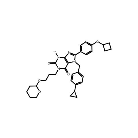 CCn1c(=O)n(CCCOC2CCCCO2)c(=O)c2c1nc(-c1ccc(OC3CCC3)nc1)n2Cc1ccc(C2CC2)cc1